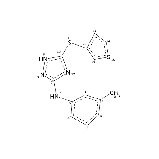 Cc1cccc(Nc2n[nH]c(Sc3ccsc3)n2)c1